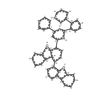 c1ccc(-c2cc(-c3ccc(-c4cccc5c4oc4ccccc45)c4c3oc3ccccc34)nc(-c3ccccc3-c3cccnc3)n2)cc1